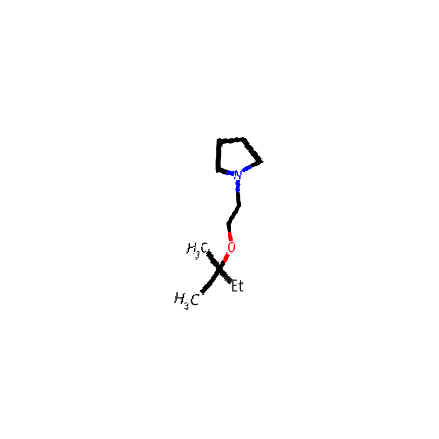 CCC(C)(C)OCCN1CCCC1